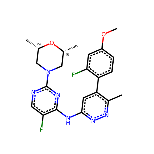 COc1ccc(-c2cc(Nc3nc(N4C[C@@H](C)O[C@@H](C)C4)ncc3F)nnc2C)c(F)c1